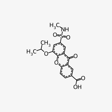 CNS(=O)(=O)c1cc(OC(C)C)c2oc3ccc(C(=O)O)cc3c(=O)c2c1